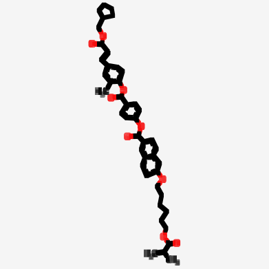 C=C(C)C(=O)OCCCCCCOc1ccc2cc(C(=O)Oc3ccc(C(=O)Oc4ccc(/C=C/C(=O)OCC5CCCC5)cc4C)cc3)ccc2c1